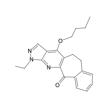 CCCCOc1c2c(nc3c1cnn3CC)C(=O)c1ccccc1CC2